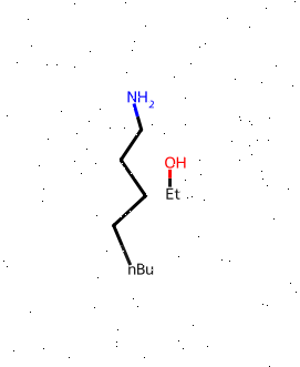 CCCCCCCCN.CCO